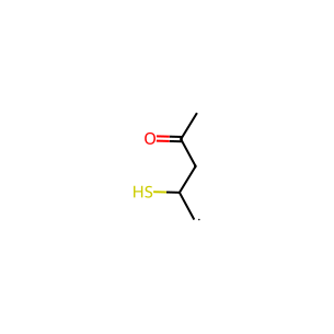 [CH2]C(S)CC(C)=O